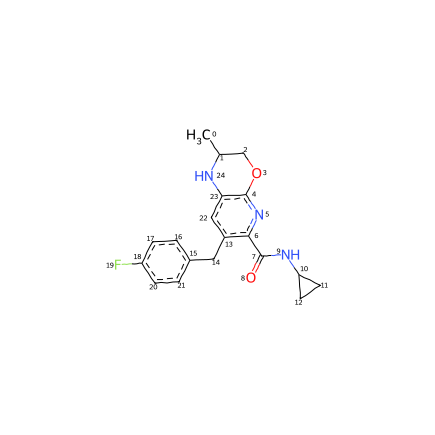 CC1COc2nc(C(=O)NC3CC3)c(Cc3ccc(F)cc3)cc2N1